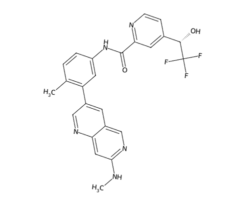 CNc1cc2ncc(-c3cc(NC(=O)c4cc([C@H](O)C(F)(F)F)ccn4)ccc3C)cc2cn1